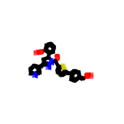 O=C(c1ccc(-c2ccc(CO)cc2)s1)N1N=C(c2cccnc2)CC1c1ccccc1O